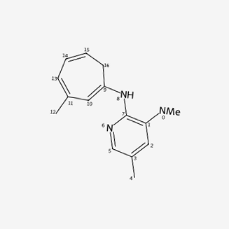 CNc1cc(C)cnc1NC1=CC(C)=CC=CC1